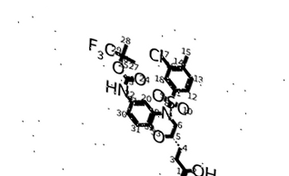 C=C(O)CC[C@H]1CN(S(=O)(=O)c2ccc(C)c(Cl)c2)c2cc(NC(=O)OC(C)(C)C(F)(F)F)ccc2O1